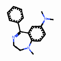 CN(C)c1ccc2c(c1)C(c1ccccc1)=NCCN2C